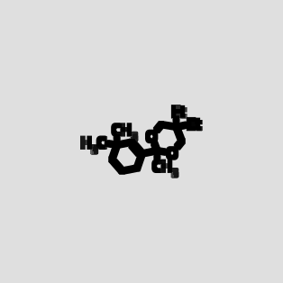 CCC1(CC)COC(C)(C2=CC(C)(C)CCC2)OC1